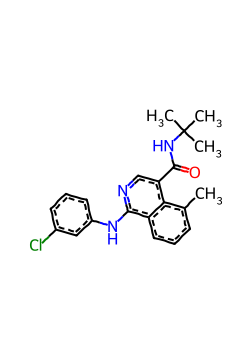 Cc1cccc2c(Nc3cccc(Cl)c3)ncc(C(=O)NC(C)(C)C)c12